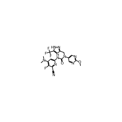 COc1ncc(N(Cc2cc(C(F)(F)F)[nH]n2)C(=O)Nc2cc(N(C)C)c(F)c(C#N)n2)cn1